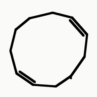 [CH]1C/C=C\CCCC/C=C\C1